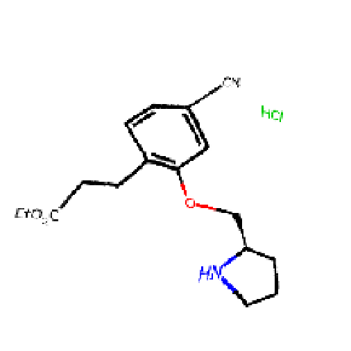 CCOC(=O)CCc1ccc(C#N)cc1OC[C@H]1CCCN1.Cl